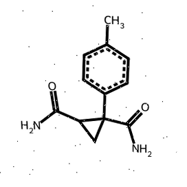 Cc1ccc(C2(C(N)=O)CC2C(N)=O)cc1